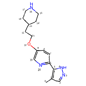 Cc1cn[nH]c1-c1ccc(OCCC2CCNCC2)cn1